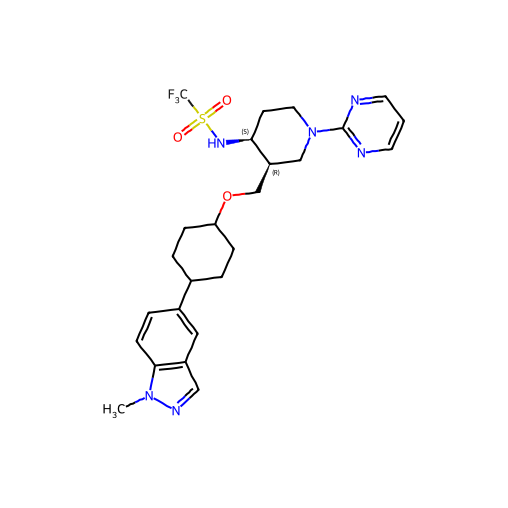 Cn1ncc2cc(C3CCC(OC[C@@H]4CN(c5ncccn5)CC[C@@H]4NS(=O)(=O)C(F)(F)F)CC3)ccc21